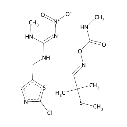 CN/C(=N\[N+](=O)[O-])NCc1cnc(Cl)s1.CNC(=O)O/N=C/C(C)(C)SC